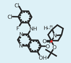 CC(C)(C)OC(=O)N1C2CC[C@@H]1C[C@@H](Oc1cc3c(Nc4ccc(Cl)c(Cl)c4F)ncnc3cc1O)C2